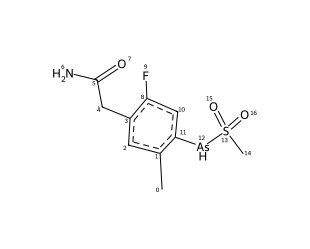 Cc1cc([CH]C(N)=O)c(F)cc1[AsH]S(C)(=O)=O